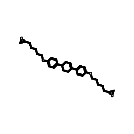 C1=C(c2ccc(OCCCCCC3CO3)cc2)CCC(c2ccc(OCCCCCC3CO3)cc2)C1